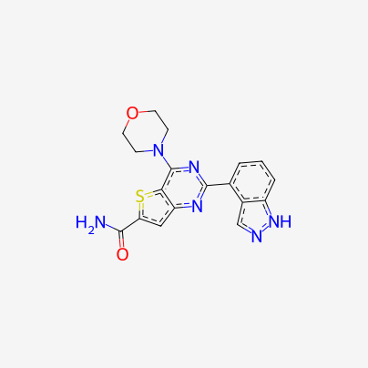 NC(=O)c1cc2nc(-c3cccc4[nH]ncc34)nc(N3CCOCC3)c2s1